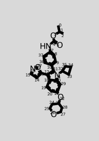 CC(C)OC(=O)Nc1ccc(-c2c(-c3ccno3)c3ccc(OC4CCOCC4)cc3n2C2CCC2)cc1